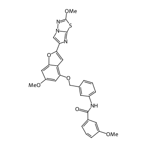 COc1cccc(C(=O)Nc2cccc(COc3cc(OC)cc4oc(-c5cn6nc(OC)sc6n5)cc34)c2)c1